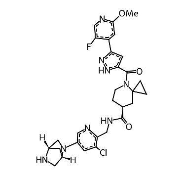 COc1cc(-c2cc(C(=O)N3CC[C@H](C(=O)NCc4ncc(N5C[C@@H]6C[C@H]5CN6)cc4Cl)CC34CC4)[nH]n2)c(F)cn1